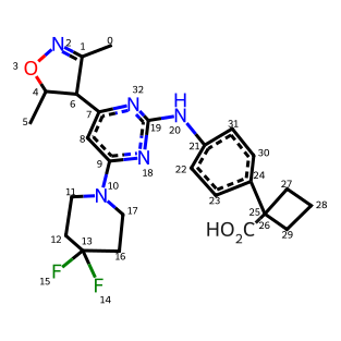 CC1=NOC(C)C1c1cc(N2CCC(F)(F)CC2)nc(Nc2ccc(C3(C(=O)O)CCC3)cc2)n1